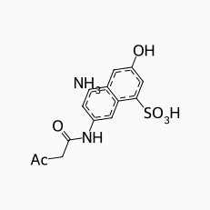 CC(=O)CC(=O)Nc1ccc2cc(O)cc(S(=O)(=O)O)c2c1.N